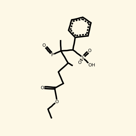 CCOC(=O)CCC(C)C(C)(P=O)C(c1ccccc1)S(=O)(=O)O